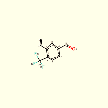 C=Cc1cc([C]=O)ccc1C(F)(F)F